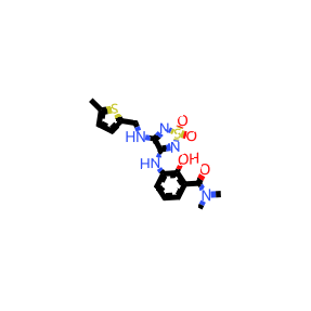 Cc1ccc(CNC2=NS(=O)(=O)N=C2Nc2cccc(C(=O)N(C)C)c2O)s1